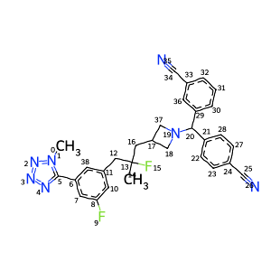 Cn1nnnc1-c1cc(F)cc(CC(C)(F)CC2CN(C(c3ccc(C#N)cc3)c3cccc(C#N)c3)C2)c1